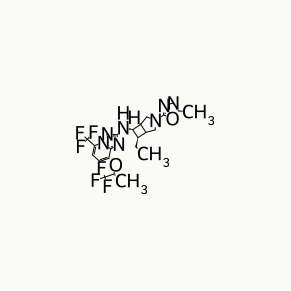 CC[C@@H]1C2CN(c3nnc(C)o3)C[C@H]2[C@@H]1Nc1nc2c(O[C@H](C)C(F)(F)F)ccc(C(F)(F)F)n2n1